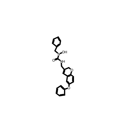 O=C(NCC1=Cc2cc(Oc3ccccc3)ccc2OC1)N(O)Cc1ccccc1